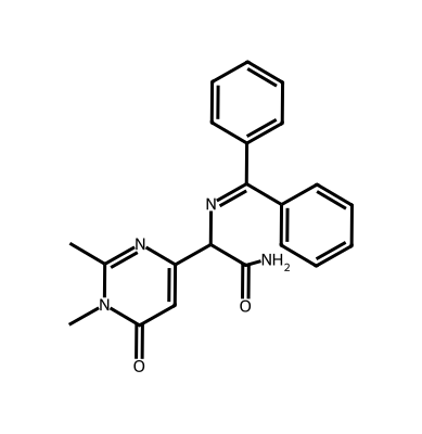 Cc1nc(C(N=C(c2ccccc2)c2ccccc2)C(N)=O)cc(=O)n1C